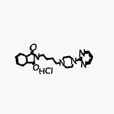 Cl.O=C1C2CC=CCC2C(=O)N1CCCCN1CCN(c2ncccn2)CC1